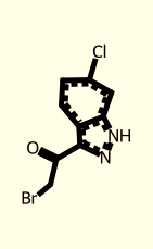 O=C(CBr)c1n[nH]c2cc(Cl)ccc12